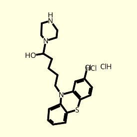 Cl.Cl.OC(CCCCN1c2ccccc2Sc2ccc(Cl)cc21)N1CCNCC1